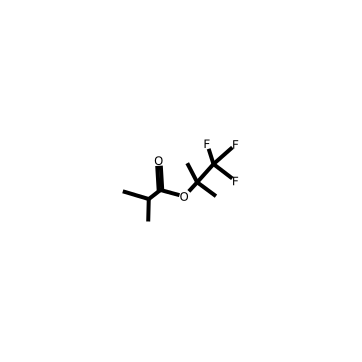 CC(C)C(=O)OC(C)(C)C(F)(F)F